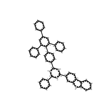 c1ccc(-c2cc(-c3ccccc3)c(-c3ccc(-c4nc(-c5ccccc5)nc(-c5ccc6c(c5)oc5ccccc56)n4)cc3)c(-c3ccccc3)c2)cc1